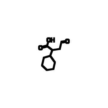 O=CCC(C(=O)O)C1CCCCC1